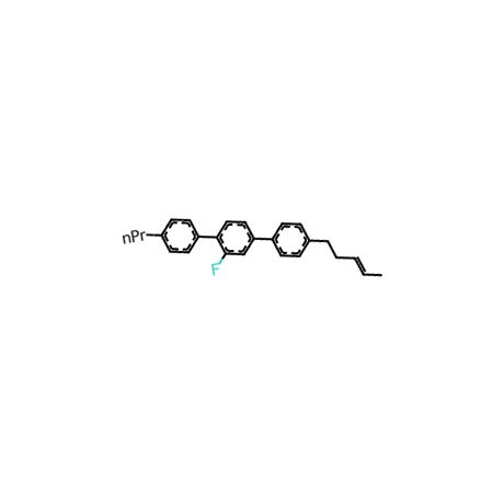 C/C=C/CCc1ccc(-c2ccc(-c3ccc(CCC)cc3)c(F)c2)cc1